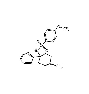 CN1CCC(NS(=O)(=O)c2ccc(OC(F)(F)F)cc2)(c2ccccc2)CC1